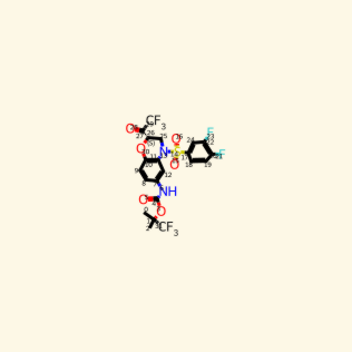 CC(C)(OC(=O)Nc1ccc2c(c1)N(S(=O)(=O)c1ccc(F)c(F)c1)C[C@@H](C(=O)C(F)(F)F)O2)C(F)(F)F